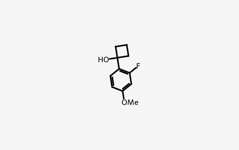 COc1ccc(C2(O)CCC2)c(F)c1